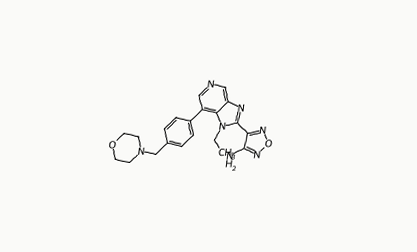 CCn1c(-c2nonc2N)nc2cncc(-c3ccc(CN4CCOCC4)cc3)c21